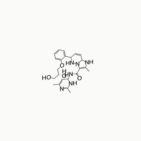 CC1=CC(NC(=O)C2=C(C)NC3C=CC(c4ccccc4OC[C@H](O)CO)NN23)NC(C)=N1